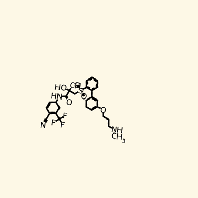 CNCCCOC1=CCCC(c2ccccc2S(=O)(=O)CC(C)(O)C(=O)NC2C=CC(C#N)=C(C(F)(F)F)C2)=C1